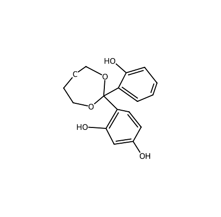 Oc1ccc(C2(c3ccccc3O)OCCCCO2)c(O)c1